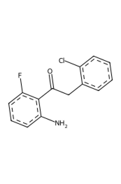 Nc1cccc(F)c1C(=O)Cc1ccccc1Cl